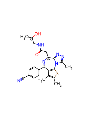 Cc1sc2c(c1C)C(c1ccc(C#N)cc1)=N[C@@H](CC(=O)NC[C@@H](C)O)c1nnc(C)n1-2